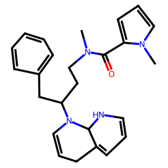 CN(CCC(Cc1ccccc1)N1C=CCC2=CC=CNC21)C(=O)c1cccn1C